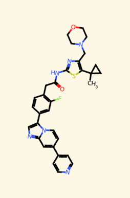 CC1(c2sc(NC(=O)Cc3ccc(-c4cnc5cc(-c6ccncc6)ccn45)cc3F)nc2CN2CCOCC2)CC1